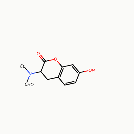 CCN(C=O)C1Cc2ccc(O)cc2OC1=O